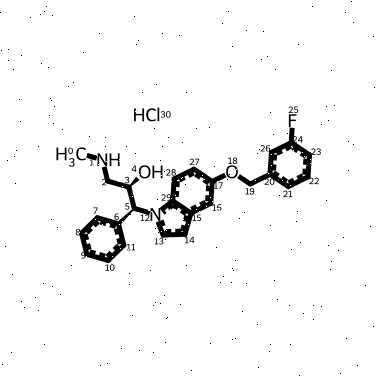 CNC[C@@H](O)[C@H](c1ccccc1)n1ccc2cc(OCc3cccc(F)c3)ccc21.Cl